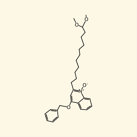 COC(CCCCCCCCCCc1cc(OCc2ccccc2)c2ccccc2[n+]1[O-])OC